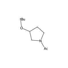 CC(=O)N1CCC(OC(C)(C)C)C1